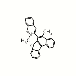 Cc1c(-c2cc3ccccc3c[n+]2C)c2oc3ccccc3c2c2ccccc12